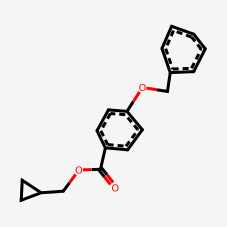 O=C(OCC1CC1)c1ccc(OCc2ccccc2)cc1